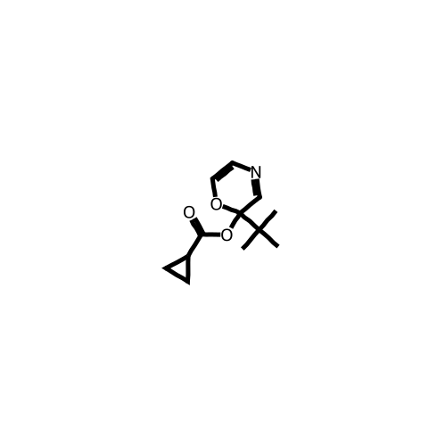 CC(C)(C)C1(OC(=O)C2CC2)C=NC=CO1